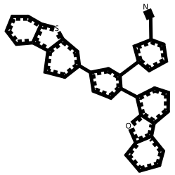 N#Cc1cccc(-c2cc(-c3ccc4c(c3)sc3ccccc34)ccc2-c2cccc3c2oc2ccccc23)c1